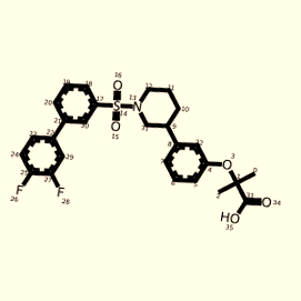 CC(C)(Oc1cccc(C2CCCN(S(=O)(=O)c3cccc(-c4ccc(F)c(F)c4)c3)C2)c1)C(=O)O